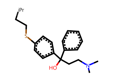 CC(C)CCSc1ccc(C(O)(CCN(C)C)c2ccccc2)cc1